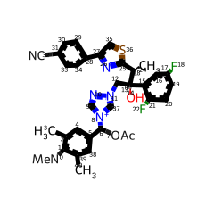 CNc1c(C)cc(C(OC(C)=O)[n+]2cnn(C[C@](O)(c3cc(F)ccc3F)[C@@H](C)c3nc(-c4ccc(C#N)cc4)cs3)c2)cc1C